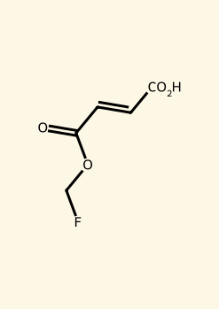 O=C(O)/C=C/C(=O)OCF